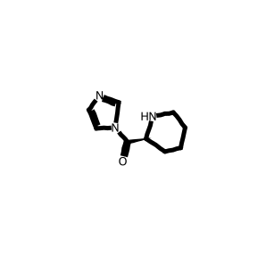 O=C([C@@H]1CCCCN1)n1ccnc1